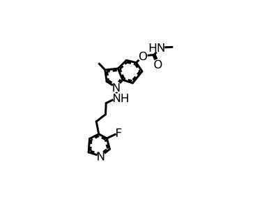 CNC(=O)Oc1ccc2c(c1)c(C)cn2NCCCc1ccncc1F